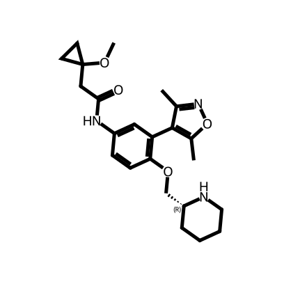 COC1(CC(=O)Nc2ccc(OC[C@H]3CCCCN3)c(-c3c(C)noc3C)c2)CC1